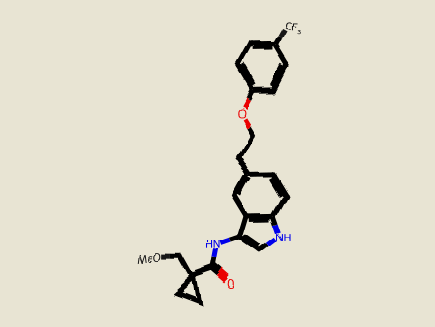 COCC1(C(=O)Nc2c[nH]c3ccc(CCOc4ccc(C(F)(F)F)cc4)cc23)CC1